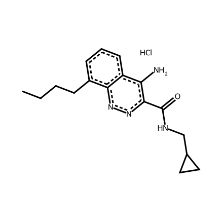 CCCCc1cccc2c(N)c(C(=O)NCC3CC3)nnc12.Cl